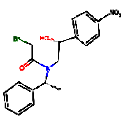 C[C@H](c1ccccc1)N(C[C@H](O)c1ccc([N+](=O)[O-])cc1)C(=O)CBr